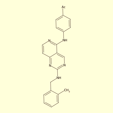 CC(=O)c1ccc(Nc2nccc3nc(NCc4ccccc4C)ncc23)cc1